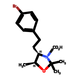 C[C@@H]1OC(C)(C)N(C(=O)O)[C@H]1CCc1ccc(Br)cc1